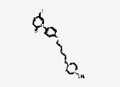 CN1CCN(CCCCCOc2ccc(-n3cc(C(F)(F)F)ccc3=O)cc2)CC1